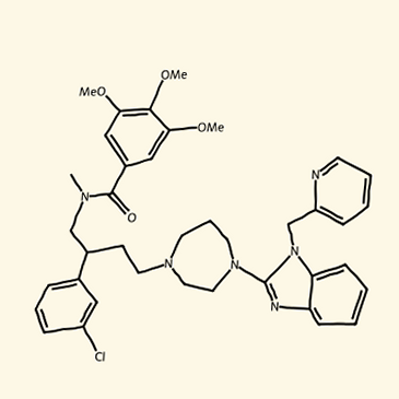 COc1cc(C(=O)N(C)CC(CCN2CCCN(c3nc4ccccc4n3Cc3ccccn3)CC2)c2cccc(Cl)c2)cc(OC)c1OC